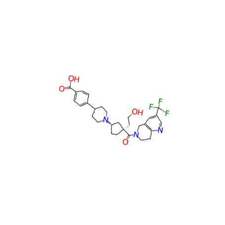 O=C(O)c1ccc(C2CCN([C@@H]3CC[C@](CCO)(C(=O)N4CCc5ncc(C(F)(F)F)cc5C4)C3)CC2)cc1